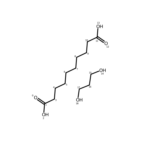 O=C(O)CCCCCCCCC(=O)O.OCCCO